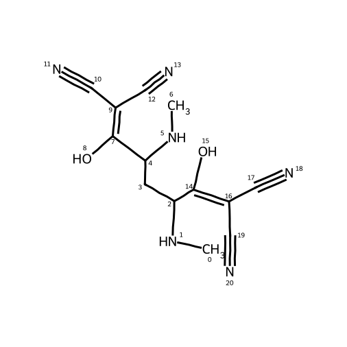 CNC(CC(NC)C(O)=C(C#N)C#N)C(O)=C(C#N)C#N